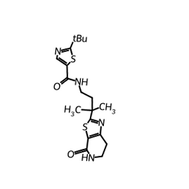 CC(C)(C)c1ncc(C(=O)NCCC(C)(C)c2nc3c(s2)C(=O)NCC3)s1